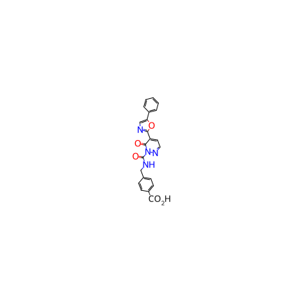 O=C(O)c1ccc(CNC(=O)n2nccc(-c3ncc(-c4ccccc4)o3)c2=O)cc1